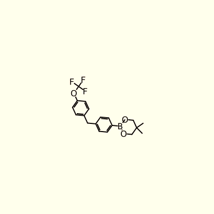 CC1(C)COB(c2ccc(Cc3ccc(OC(F)(F)F)cc3)cc2)OC1